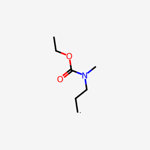 [CH2]CCN(C)C(=O)OCC